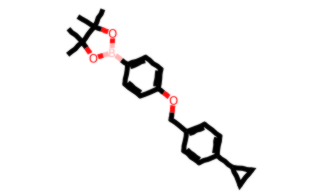 CC1(C)OB(c2ccc(OCc3ccc(C4CC4)cc3)cc2)OC1(C)C